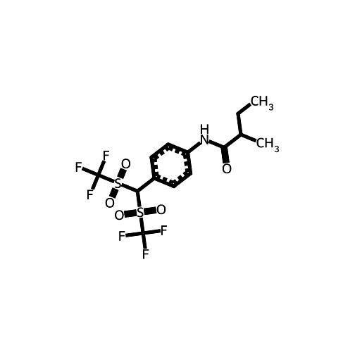 CCC(C)C(=O)Nc1ccc(C(S(=O)(=O)C(F)(F)F)S(=O)(=O)C(F)(F)F)cc1